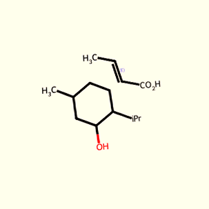 C/C=C/C(=O)O.CC1CCC(C(C)C)C(O)C1